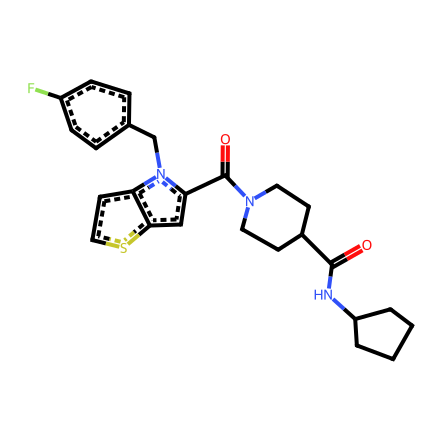 O=C(NC1CCCC1)C1CCN(C(=O)c2cc3sccc3n2Cc2ccc(F)cc2)CC1